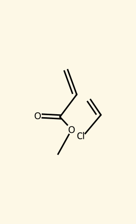 C=CC(=O)OC.C=CCl